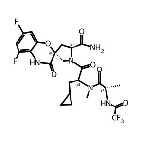 C[C@H](NC(=O)C(F)(F)F)C(=O)N(C)[C@@H](CC1CC1)C(=O)N1C[C@@]2(C[C@H]1C(N)=O)Oc1cc(F)cc(F)c1NC2=O